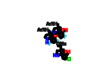 CC(=O)NCCC[C@@](O)(c1cc(F)cc(F)c1)[C@@H]1CCCNC1.CC(=O)NCCC[C@@](O)(c1cccc(F)c1F)[C@@H]1CCCNC1.COCCCC[C@@](O)(c1cccc(Cl)c1C)[C@@H]1CCCNC1